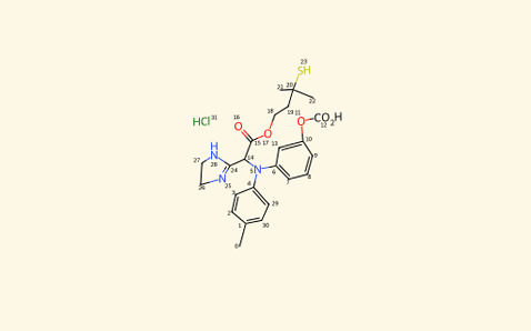 Cc1ccc(N(c2cccc(OC(=O)O)c2)C(C(=O)OCCC(C)(C)S)C2=NCCN2)cc1.Cl